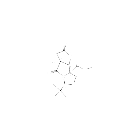 COC(=O)[C@@]12CO[C@@H](C(C)(C)C)N1C(=O)[C@H]1CC(=O)O[C@]12C